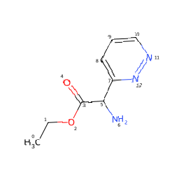 CCOC(=O)C(N)c1cccnn1